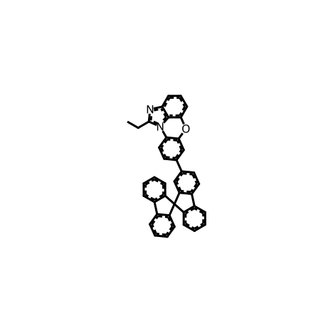 CCc1nc2cccc3c2n1-c1ccc(-c2ccc4c(c2)C2(c5ccccc5-c5ccccc52)c2ccccc2-4)cc1O3